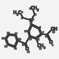 CCN(CC)c1cc(C(=O)O)c(C)c(C(=O)c2ccccc2)c1